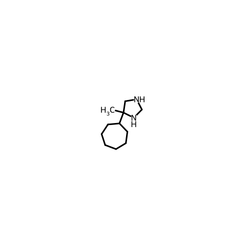 CC1(C2CCCCCC2)CNCN1